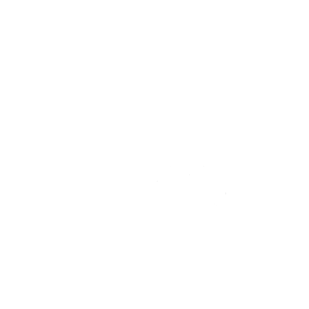 O=C(O)CC(=O)c1cc(-c2ccc3c(c2)OCO3)co1